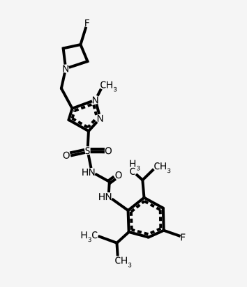 CC(C)c1cc(F)cc(C(C)C)c1NC(=O)NS(=O)(=O)c1cc(CN2CC(F)C2)n(C)n1